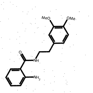 COc1ccc(CCNC(=O)c2ccccc2N)cc1OC